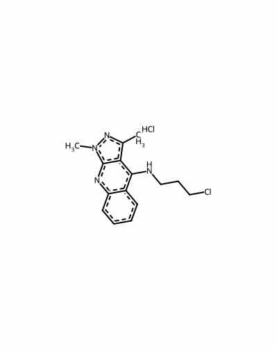 Cc1nn(C)c2nc3ccccc3c(NCCCCl)c12.Cl